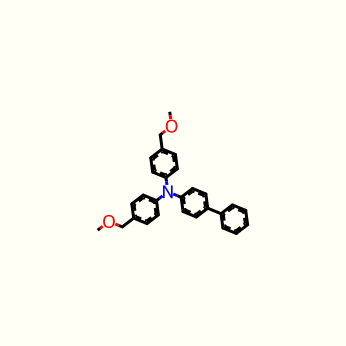 COCc1ccc(N(c2ccc(COC)cc2)c2ccc(-c3ccccc3)cc2)cc1